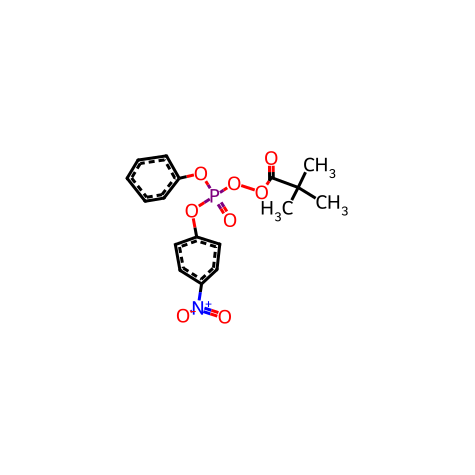 CC(C)(C)C(=O)OOP(=O)(Oc1ccccc1)Oc1ccc([N+](=O)[O-])cc1